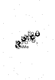 CNc1nccn2ncc(Oc3cnc4nc(Nc5cc(C(F)(F)F)cn(C6CCCOC6)c5=O)n(C)c4c3Cl)c12